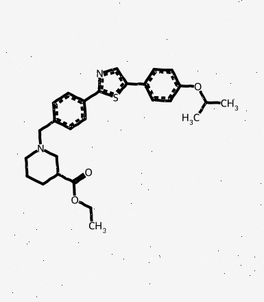 CCOC(=O)C1CCCN(Cc2ccc(-c3ncc(-c4ccc(OC(C)C)cc4)s3)cc2)C1